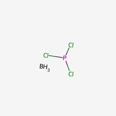 B.ClP(Cl)Cl